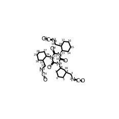 O=C=NCC1CCCC(n2c(=O)n(C3CCCCC3CN=C=O)c(=O)n(C3CCCCC3CN=C=O)c2=O)C1